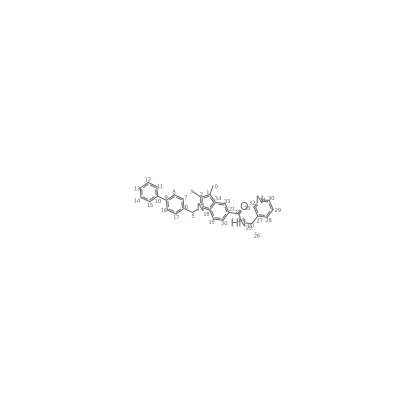 Cc1c(C)n(Cc2ccc(-c3ccccc3)cc2)c2ccc(C(=O)N[C@@H](C)c3cccnc3)cc12